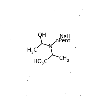 CCCCCN(C(C)O)C(C)C(=O)O.[NaH]